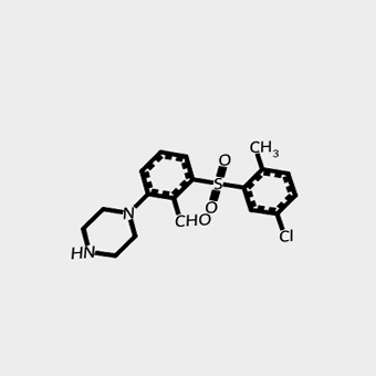 Cc1ccc(Cl)cc1S(=O)(=O)c1cccc(N2CCNCC2)c1C=O